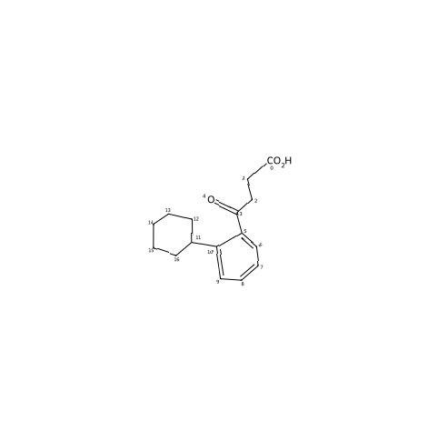 O=C(O)CCC(=O)c1ccccc1C1CCCCC1